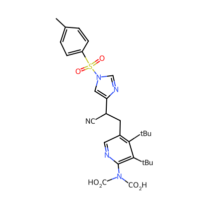 Cc1ccc(S(=O)(=O)n2cnc(C(C#N)Cc3cnc(N(C(=O)O)C(=O)O)c(C(C)(C)C)c3C(C)(C)C)c2)cc1